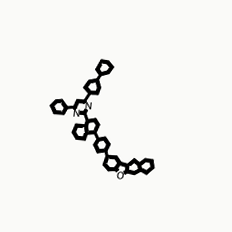 c1ccc(-c2ccc(-c3cc(-c4ccccc4)nc(-c4ccc(-c5ccc(-c6ccc7oc8cc9ccccc9cc8c7c6)cc5)c5ccccc45)n3)cc2)cc1